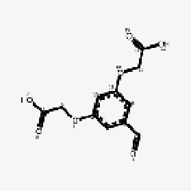 O=[C]c1cc(OCC(=O)O)cc(OCC(=O)O)c1